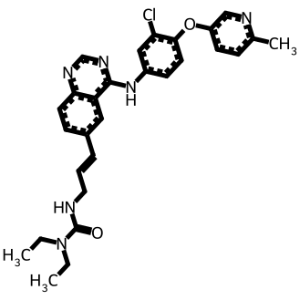 CCN(CC)C(=O)NC/C=C/c1ccc2ncnc(Nc3ccc(Oc4ccc(C)nc4)c(Cl)c3)c2c1